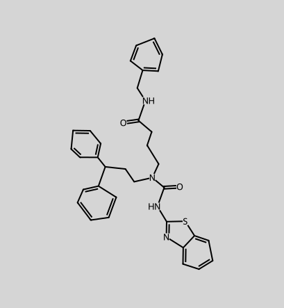 O=C(CCCN(CCC(c1ccccc1)c1ccccc1)C(=O)Nc1nc2ccccc2s1)NCc1ccccc1